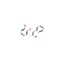 O=Cc1c(Oc2cnc3c(F)cccc3c2)cccc1C(F)(F)F